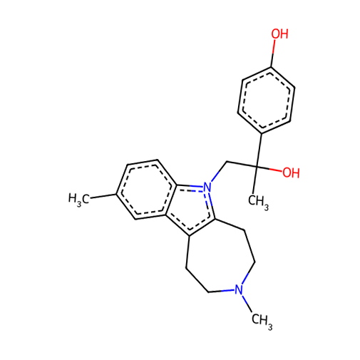 Cc1ccc2c(c1)c1c(n2CC(C)(O)c2ccc(O)cc2)CCN(C)CC1